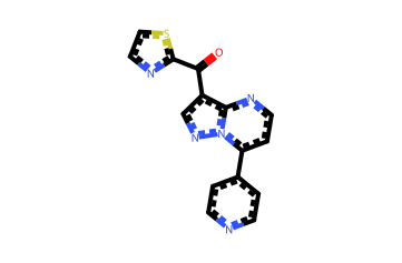 O=C(c1nccs1)c1cnn2c(-c3ccncc3)ccnc12